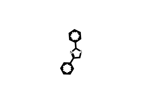 c1ccc(C2=NC(c3ccccc3)SC2)cc1